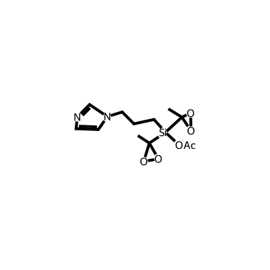 CC(=O)O[Si](CCCn1ccnc1)(C1(C)OO1)C1(C)OO1